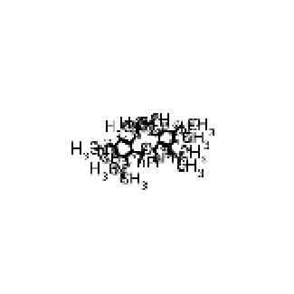 CCCC(OC(CCC)c1c(CN(C)C)cc(CN(C)C)cc1CN(C)C)c1c(CN(C)C)cc(CN(C)C)cc1CN(C)C